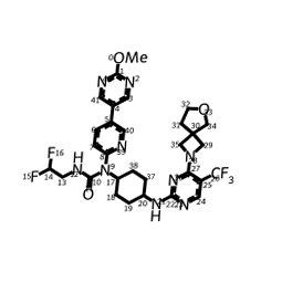 COc1ncc(-c2ccc(N(C(=O)NCC(F)F)C3CCC(Nc4ncc(C(F)(F)F)c(N5CC6(CCOC6)C5)n4)CC3)nc2)cn1